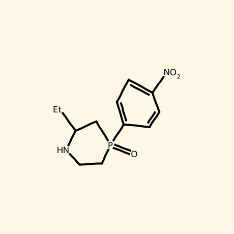 CCC1CP(=O)(c2ccc([N+](=O)[O-])cc2)CCN1